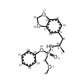 COCP(=O)(N[C@H](C)Cc1ccc2c(c1)OCO2)Oc1ccccc1